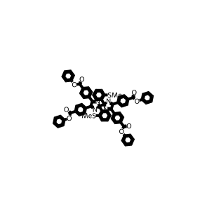 CSc1ccccc1C1(C2(c3ccccc3SC)N=C(c3ccc(C(=O)Oc4ccccc4)cc3)C(c3ccc(C(=O)Oc4ccccc4)cc3)=N2)N=C(c2ccc(C(=O)Oc3ccccc3)cc2)C(c2ccc(C(=O)Oc3ccccc3)cc2)=N1